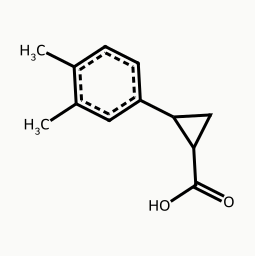 Cc1ccc(C2CC2C(=O)O)cc1C